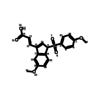 COc1ccc(S(=O)(=O)C2C=C(/C=C/C(=O)O)c3cc(OC)ccc32)cc1